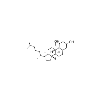 CC(C)CCC[C@@H](C)[C@H]1CC[C@H]2[C@@H]3CC=C4C[C@@H](O)CC[C@]4(CO)[C@H]3CC[C@]12C